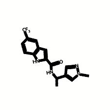 CC(NC(=O)c1cc2cc(C(F)(F)F)ccc2[nH]1)c1cnn(C)c1